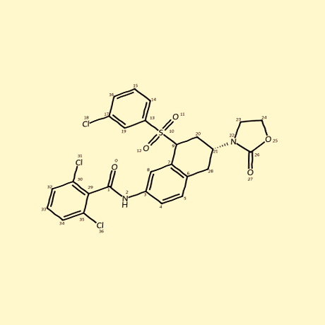 O=C(Nc1ccc2c(c1)C(S(=O)(=O)c1cccc(Cl)c1)C[C@H](N1CCOC1=O)C2)c1c(Cl)cccc1Cl